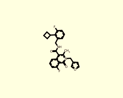 Cc1c(C(=O)NCc2cccc(F)c2C2CCC2)c2cccc(F)c2c(=O)n1Cc1ccoc1